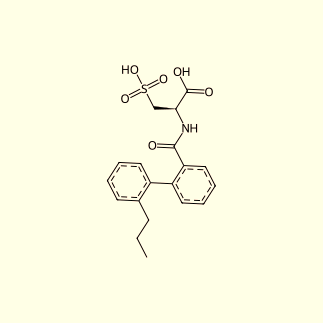 CCCc1ccccc1-c1ccccc1C(=O)N[C@@H](CS(=O)(=O)O)C(=O)O